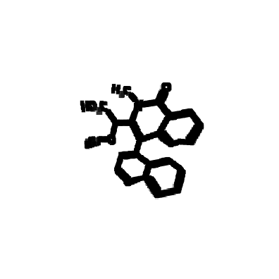 Cn1c(C(OC(C)(C)C)C(=O)O)c(-c2cccc3ccccc23)c2ccccc2c1=O